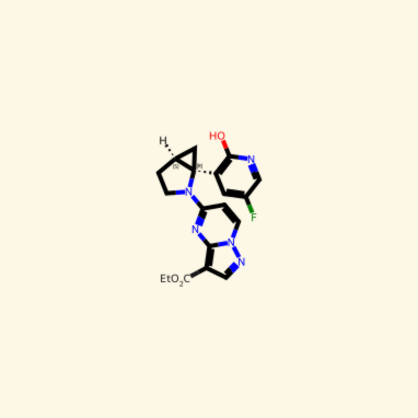 CCOC(=O)c1cnn2ccc(N3CC[C@H]4C[C@]43c3cc(F)cnc3O)nc12